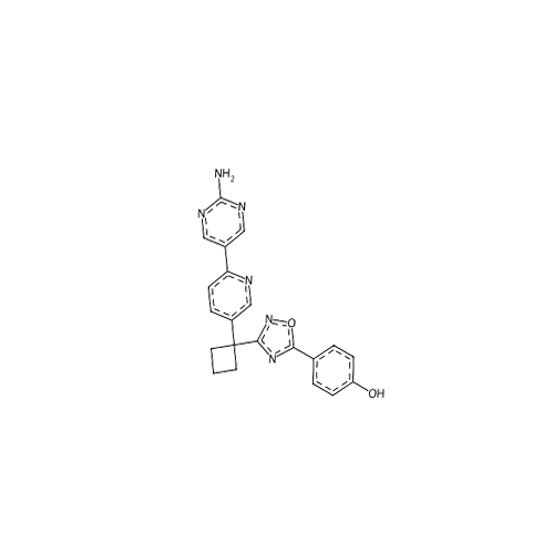 Nc1ncc(-c2ccc(C3(c4noc(-c5ccc(O)cc5)n4)CCC3)cn2)cn1